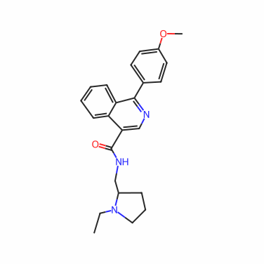 CCN1CCCC1CNC(=O)c1cnc(-c2ccc(OC)cc2)c2ccccc12